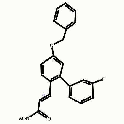 CNC(=O)/C=C/c1ccc(OCc2ccccc2)cc1-c1cccc(F)c1